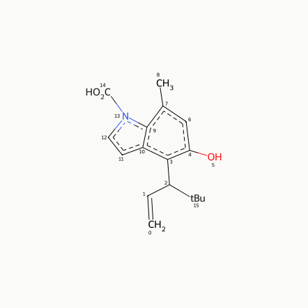 C=CC(c1c(O)cc(C)c2c1ccn2C(=O)O)C(C)(C)C